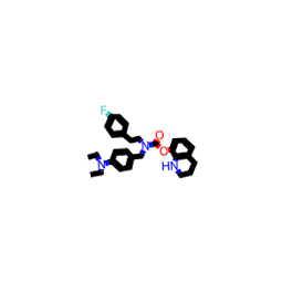 CCN(CC)c1ccc(CN(CCc2ccc(F)cc2)C(=O)Oc2cccc3c2NCCC3)cc1